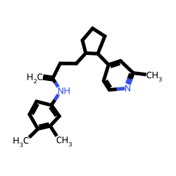 C=C(CCC1CCCC1c1ccnc(C)c1)Nc1ccc(C)c(C)c1